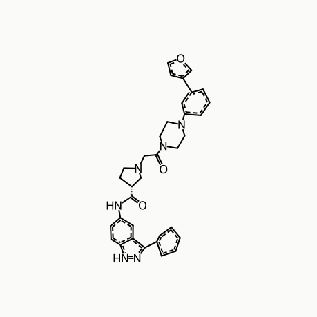 O=C(Nc1ccc2[nH]nc(-c3ccccc3)c2c1)[C@@H]1CCN(CC(=O)N2CCN(c3cccc(-c4ccoc4)c3)CC2)C1